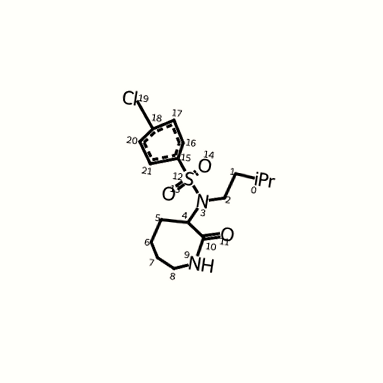 CC(C)CCN(C1CCCCNC1=O)S(=O)(=O)c1ccc(Cl)cc1